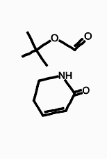 CC(C)(C)OC=O.O=C1C=CCCN1